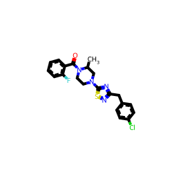 CC1CN(c2nc(Cc3ccc(Cl)cc3)ns2)CCN1C(=O)c1ccccc1F